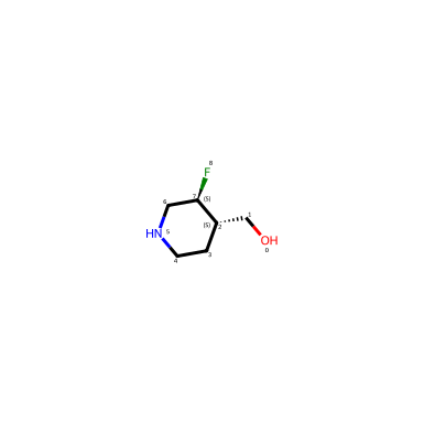 OC[C@@H]1CCNC[C@H]1F